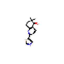 CC1(C)CCc2nc(-c3cncs3)ccc2C1=O